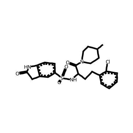 CC1CCN(C(=O)C(CCc2ccccc2Cl)NS(=O)(=O)c2ccc3c(c2)CC(=O)N3)CC1